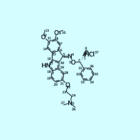 C#C[C@@H](O/N=C1/c2cc(OC)c(OC)cc2-c2[nH]c3ccc(OCCN(C)C)cc3c21)c1ccccc1.Cl